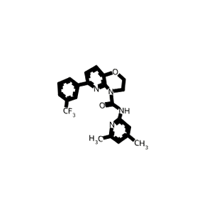 Cc1cc(C)nc(NC(=O)N2CCOc3ccc(-c4cccc(C(F)(F)F)c4)nc32)c1